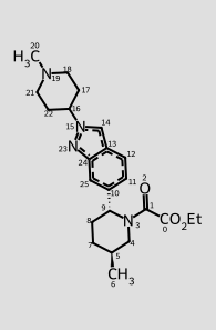 CCOC(=O)C(=O)N1C[C@@H](C)CC[C@@H]1c1ccc2cn(C3CCN(C)CC3)nc2c1